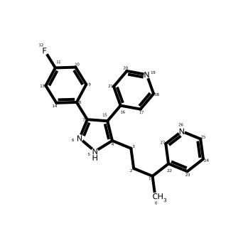 CC(CCc1[nH]nc(-c2ccc(F)cc2)c1-c1ccncc1)c1cccnc1